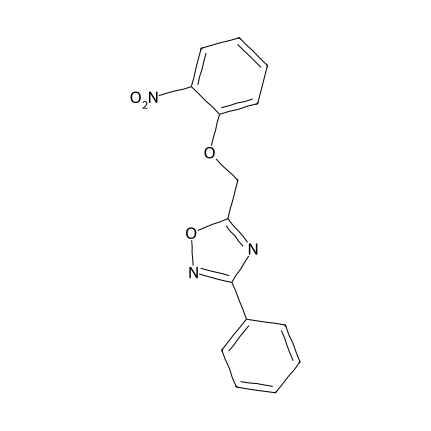 O=[N+]([O-])c1ccccc1OCc1nc(-c2ccccc2)no1